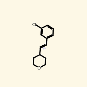 Clc1cccc(/C=C/C2CCOCC2)c1